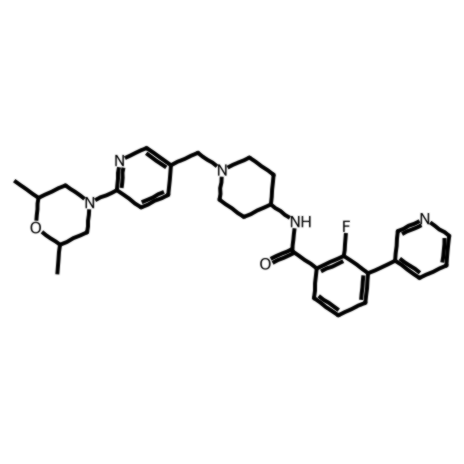 CC1CN(c2ccc(CN3CCC(NC(=O)c4cccc(-c5cccnc5)c4F)CC3)cn2)CC(C)O1